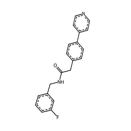 O=C(Cc1ccc(-c2ccncc2)cc1)NCc1cccc(F)c1